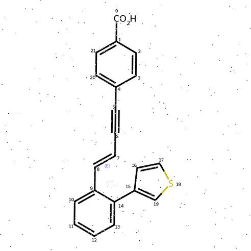 O=C(O)c1ccc(C#C/C=C/c2ccccc2-c2ccsc2)cc1